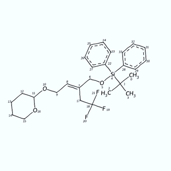 CC(C)(C)[Si](OC/C(=C/COC1CCCCO1)CC(F)(F)F)(c1ccccc1)c1ccccc1